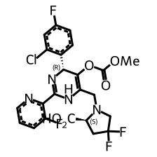 COC(=O)OC1=C(CN2CC(F)(F)C[C@H]2C(=O)O)NC(c2ncccc2F)=N[C@@H]1c1ccc(F)cc1Cl